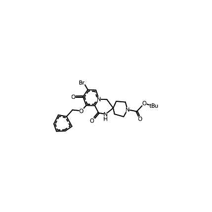 CC(C)(C)OC(=O)N1CCC2(CC1)Cn1cc(Br)c(=O)c(OCc3ccccc3)c1C(=O)N2